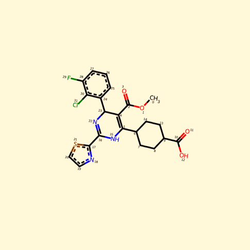 COC(=O)C1=C(C2CCC(C(=O)O)CC2)NC(c2nccs2)=NC1c1cccc(F)c1Cl